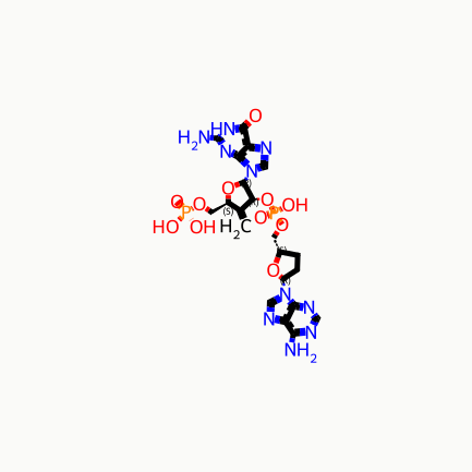 C=C1[C@@H](OP(=O)(O)OC[C@@H]2CC[C@H](n3cnc4c(N)ncnc43)O2)[C@H](n2cnc3c(=O)[nH]c(N)nc32)O[C@@H]1COP(=O)(O)O